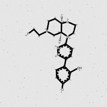 Oc1cc(Cl)ccc1-c1ccc(N2CCO[C@@H]3CCN(CCF)C[C@@H]32)nn1